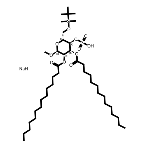 CCCCCCCCCCCCCC(=O)O[C@@H]1[C@@H](OC(=O)CCCCCCCCCCCCC)[C@@H](OC)O[C@H](CO[Si](C)(C)C(C)(C)C)[C@H]1OS(=O)(=O)O.[NaH]